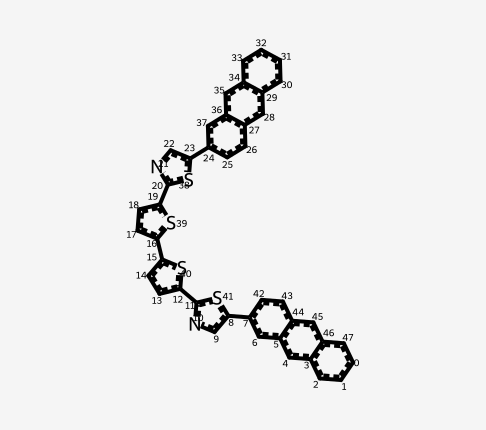 c1ccc2cc3cc(-c4cnc(-c5ccc(-c6ccc(-c7ncc(-c8ccc9cc%10ccccc%10cc9c8)s7)s6)s5)s4)ccc3cc2c1